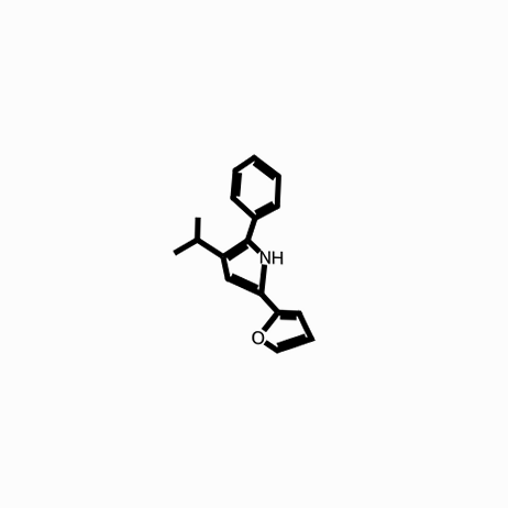 CC(C)c1cc(-c2ccco2)[nH]c1-c1ccccc1